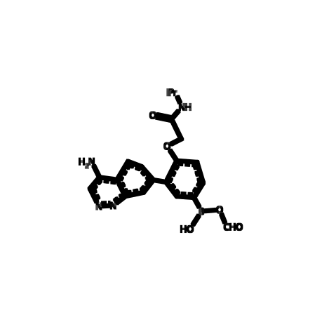 CC(C)NC(=O)COc1ccc(B(O)OC=O)cc1-c1ccc2c(N)cnnc2c1